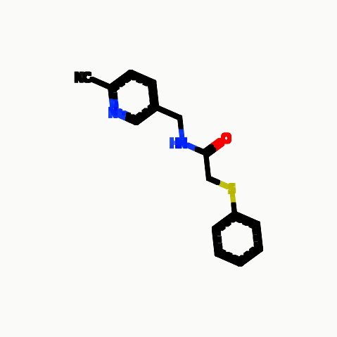 N#Cc1ccc(CNC(=O)CSc2ccccc2)cn1